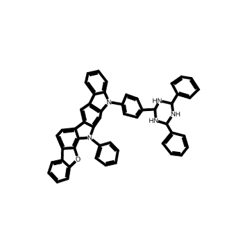 c1ccc(C2NC(c3ccccc3)NC(c3ccc(-n4c5ccccc5c5cc6c7ccc8c9ccccc9oc8c7n(-c7ccccc7)c6cc54)cc3)N2)cc1